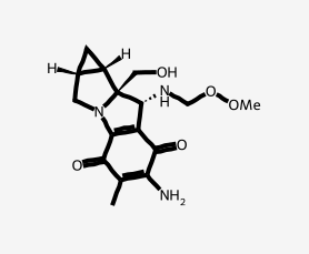 COOCN[C@@H]1C2=C(C(=O)C(C)=C(N)C2=O)N2C[C@@H]3C[C@@H]3[C@]12CO